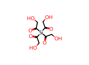 O=C(CO)[Si](C(=O)CO)(C(=O)CO)C(=O)CO